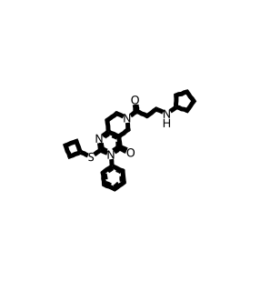 O=C(CCNC1CCCC1)N1CCc2nc(SC3CCC3)n(-c3ccccc3)c(=O)c2C1